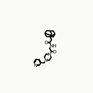 O=C(CC12CC3CC(CC(C3)C1)C2)NCC(=O)N1CCN(Cc2cccnc2)CC1